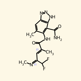 C/N=C(\C=C(/C)C(=O)Nc1c(C)cc2nn[nH]c2c1C(N)=O)C(F)F